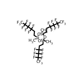 C[Si]1(CCC(F)(F)C(F)(F)C(F)(F)C(F)(F)F)O[Si](C)(CCC(F)(F)C(F)(F)C(F)(F)C(F)(F)F)O[Si](C)(CCC(F)(F)C(F)(F)C(F)(F)C(F)(F)F)O1